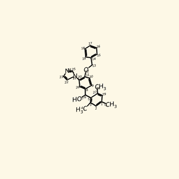 Cc1cc(C)c(C(O)c2ccc(OCc3ccccc3)c(-n3ccnc3)c2)c(C)c1